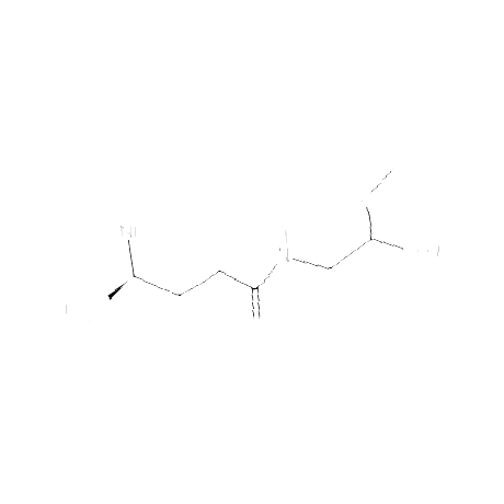 C[Se]C(CNC(=O)CC[C@H](N)C(=O)O)C(=O)O